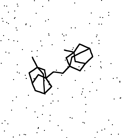 CC12CC3CC(C1)CC(CCC14CC5CC(CC(C)(C5)C1)C4)(C3)C2